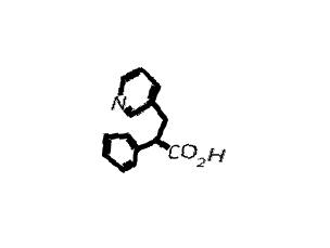 O=C(O)C(Cc1cccnc1)c1ccccc1